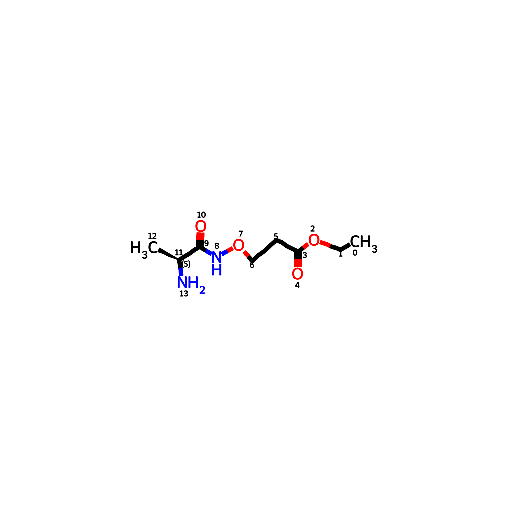 CCOC(=O)CCONC(=O)[C@H](C)N